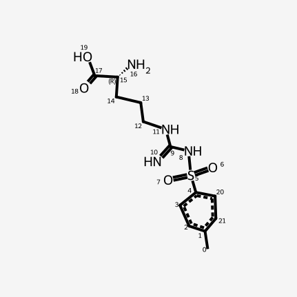 Cc1ccc(S(=O)(=O)NC(=N)NCCC[C@@H](N)C(=O)O)cc1